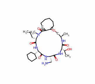 CCC[C@H]1C(=O)N[C@@H](C2CCCCC2)C(=O)N[C@@H](CN)C(=O)N[C@@H](C(C)O)C(=O)N[C@H](C)CO[C@@H]2CCCCCC[C@H]2C(=O)N1C